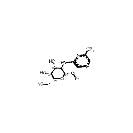 CCO[C@@H]1O[C@H](CO)[C@H](O)[C@H](O)[C@H]1Nc1cncc(C(F)(F)F)n1